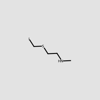 CNCCSCI